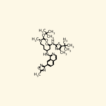 Cc1nc(-c2ccc3ccnc(NC(CCCN(C)C(=O)OC(C)(C)C)CC(=O)Nc4nc(C)c(C(C)(C)C)s4)c3c2)no1